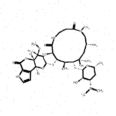 CO[C@]1(C)C[C@H](O[C@H]2[C@H](C)[C@@H](O[C@@H]3O[C@H](C)C[C@H](N(C)C)[C@H]3O)[C@](C)(O)C[C@@H](C)CN(C)C(=O)CCNC(=O)[C@@H]2C)O[C@H]2c3cc[nH]c3C(=O)O[C@@H]21